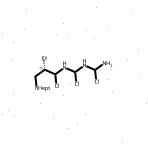 CCCCCCCC[C@H](CC)C(Cl)NC(Cl)NC(N)Cl